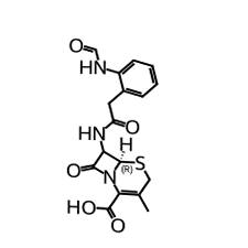 CC1=C(C(=O)O)N2C(=O)C(NC(=O)Cc3ccccc3NC=O)[C@H]2SC1